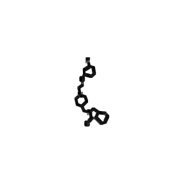 O=C1c2ccccc2CN1CC1CCN(CCOc2cccc(F)c2)CC1